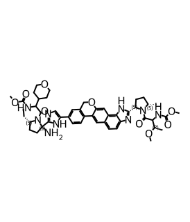 CC[C@H]1CC[C@@](N)(c2ncc(-c3ccc4c(c3)COc3cc5c(ccc6nc([C@@H]7CC[C@H](C)N7C(=O)C(NC(=O)OC)[C@@H](C)OC)[nH]c65)cc3-4)[nH]2)N1C(=O)C(NC(=O)OC)C1CCOCC1